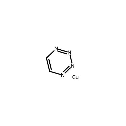 [Cu].c1cnnnn1